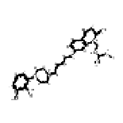 COC(O)OCN1C(=O)CCc2ccc(OCCCCN3CCN(c4cccc(Cl)c4Cl)CC3)cc21